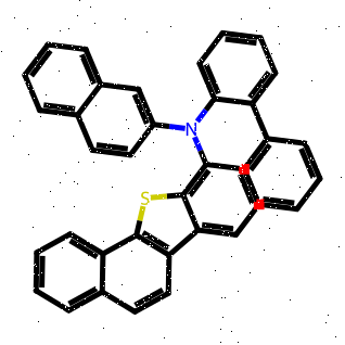 c1ccc(-c2ccccc2N(c2ccc3ccccc3c2)c2cccc3c2sc2c4ccccc4ccc32)cc1